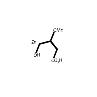 COC(CO)CC(=O)O.[Zn]